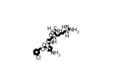 CNC(=O)C(CCCCNC(=N)N)NC(=O)c1csc([C@@H]2C[C@@H](N)CN2C(=O)OCc2cccc(Cl)c2)n1